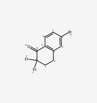 CCC1(CC)CCc2cc(Br)ccc2C1=O